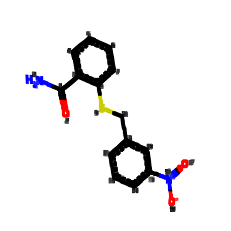 NC(=O)c1ccccc1SCc1cccc([N+](=O)[O-])c1